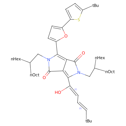 CCCCCCCCC(CCCCCC)CN1C(=O)C2=C(c3ccc(-c4ccc(C(C)(C)C)s4)o3)N(CC(CCCCCC)CCCCCCCC)C(=O)C2=C1/C(O)=C/C=C/C(C)(C)C